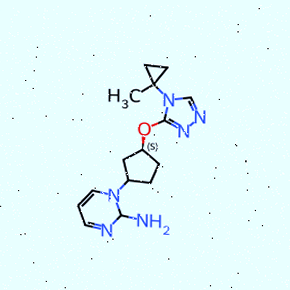 CC1(n2cnnc2O[C@H]2CCC(N3C=CC=NC3N)C2)CC1